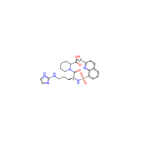 Cc1ccc2cccc(S(=O)(=O)N[C@@H](CCCNc3ncc[nH]3)C(=O)N3CCCCC3C(=O)O)c2n1